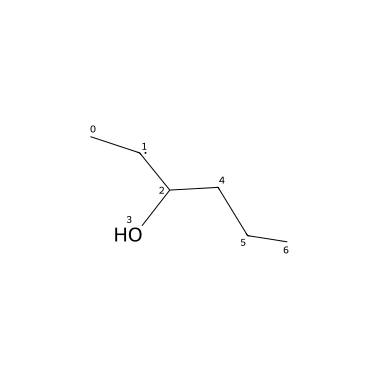 C[CH]C(O)CCC